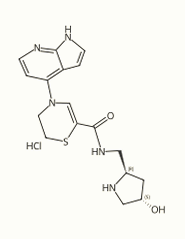 Cl.O=C(NC[C@H]1C[C@H](O)CN1)C1=CN(c2ccnc3[nH]ccc23)CCS1